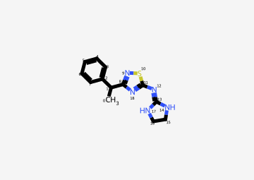 CC(c1c[c]ccc1)c1nsc(N=C2NCCN2)n1